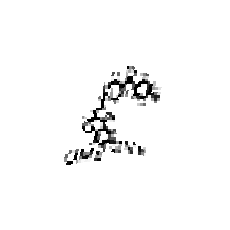 COc1cc2occ(CCCN3CCC(C(=O)c4ccc(F)cc4)CC3)c(=O)c2cc1OC